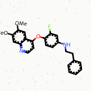 COc1cc2nccc(Oc3ccc(NCCc4ccccc4)cc3F)c2cc1OC